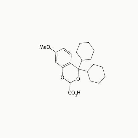 COc1ccc2c(c1)OC(C(=O)O)OC2(C1CCCCC1)C1CCCCC1